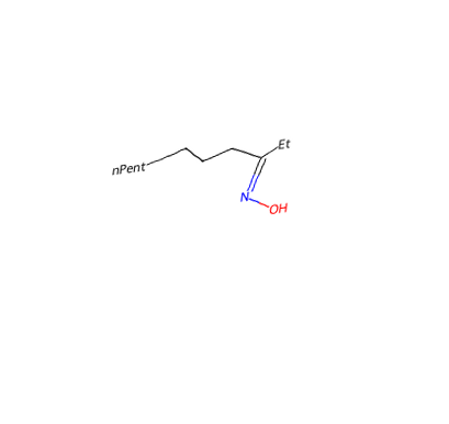 CCCCCCCCC(CC)=NO